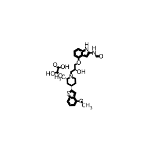 COc1cccc2sc([C@H]3CCN(C[C@H](O)COc4cccc5[nH]c(NC=O)cc45)[C@@H](C)C3)cc12.O=C(O)C(=O)O